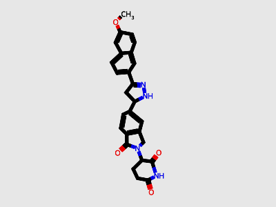 COc1ccc2cc(C3=NNC(c4ccc5c(c4)CN(C4CCC(=O)NC4=O)C5=O)C3)ccc2c1